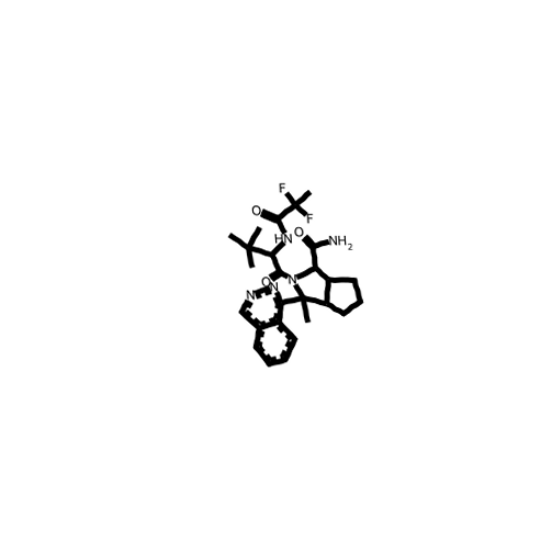 CC(F)(F)C(=O)NC(C(=O)N1C(C(N)=O)C2CCCC2C1(C)c1nncc2ccccc12)C(C)(C)C